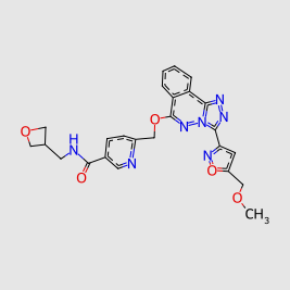 COCc1cc(-c2nnc3c4ccccc4c(OCc4ccc(C(=O)NCC5COC5)cn4)nn23)no1